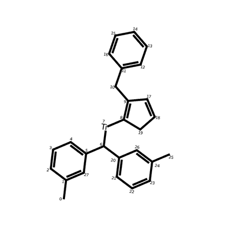 Cc1cccc([CH]([Ti][C]2=C(Cc3ccccc3)C=CC2)c2cccc(C)c2)c1